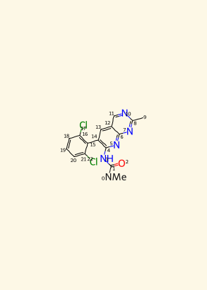 CNC(=O)Nc1nc2nc(C)ncc2cc1-c1c(Cl)cccc1Cl